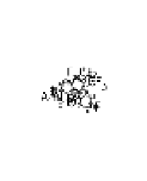 CC(=O)N1CC[C@@]2(S(=O)(=O)c3ccc(F)cc3)c3ccc(C(F)(C(F)(F)F)C(F)(F)F)cc3CC[C@@H]12